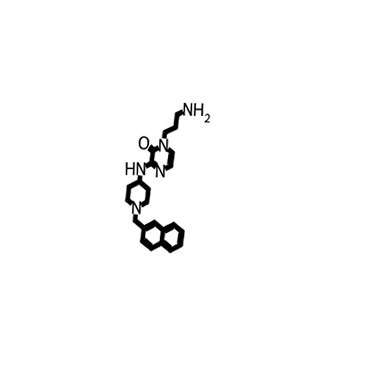 NCCCn1ccnc(NC2CCN(Cc3ccc4ccccc4c3)CC2)c1=O